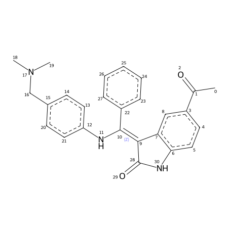 CC(=O)c1ccc2c(c1)/C(=C(/Nc1ccc(CN(C)C)cc1)c1ccccc1)C(=O)N2